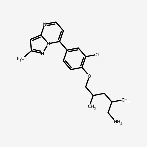 CC(CN)CC(C)COc1ccc(-c2ccnc3cc(C(F)(F)F)nn23)cc1Cl